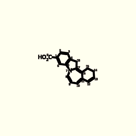 O=C(O)c1ccc2c(c1)N1C=CC=C3C=CCCC3=C1C2